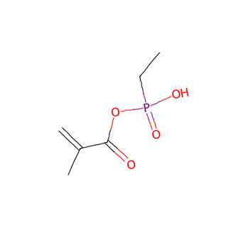 C=C(C)C(=O)OP(=O)(O)CC